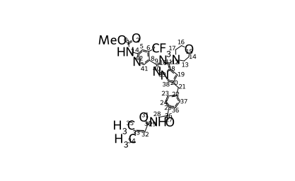 COC(=O)Nc1cc(C(F)(F)F)c(-c2nc(N3CCOCC3)c3cc(Cc4ccc(C(=O)CNC(=O)C=C(C)C)cc4)cn3n2)cn1